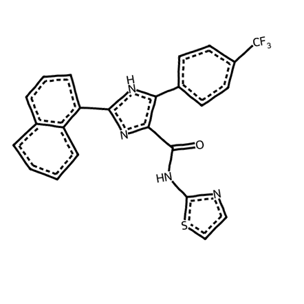 O=C(Nc1nccs1)c1nc(-c2cccc3ccccc23)[nH]c1-c1ccc(C(F)(F)F)cc1